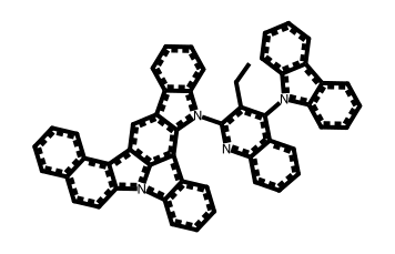 CCc1c(-n2c3ccccc3c3cc4c5c6ccccc6ccc5n5c6ccccc6c(c32)c45)nc2ccccc2c1-n1c2ccccc2c2ccccc21